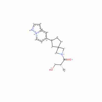 CC[C@H](CO)C(=O)N1CC2(CCC(c3ccn4nccc4c3)C2)C1